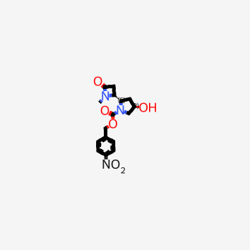 CN1C(=O)CC1[C@@H]1C[C@@H](O)CN1C(=O)OCc1ccc([N+](=O)[O-])cc1